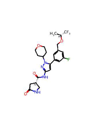 C[C@@H](OCc1cc(F)cc(-c2cc(NC(=O)[C@@H]3CNC(=O)C3)nn2C2CCOCC2)c1)C(F)(F)F